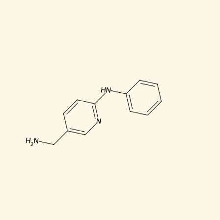 NCc1ccc(Nc2ccccc2)nc1